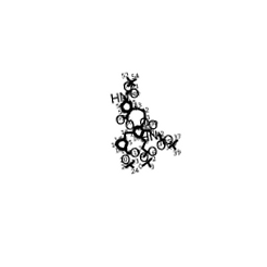 CC(C)(C)OC(=O)CCc1cc(Cc2cccc(C(=O)OC(C)(C)C)c2)c2c(c1C(=O)NCC(=O)OC(C)(C)C)OCCCc1cc(NC(=O)OC(C)(C)C)ccc1C(=O)O2